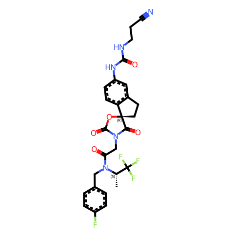 C[C@H](N(Cc1ccc(F)cc1)C(=O)CN1C(=O)O[C@@]2(CCc3cc(NC(=O)NCCC#N)ccc32)C1=O)C(F)(F)F